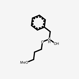 COCCCO[SiH](O)Cc1ccccc1